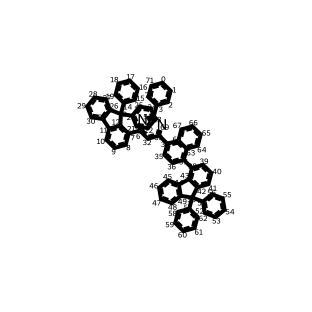 c1ccc(-c2nc(-c3cccc4c3C(c3ccccc3)(c3ccccc3)c3ccccc3-4)cc(-c3ccc(-c4cccc5c4-c4ccccc4C5(c4ccccc4)c4ccccc4)c4ccccc34)n2)cc1